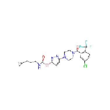 O=C(NCCCC1CC1)Oc1ccc(N2CCN(C(=O)c3cc(Cl)ccc3C(F)(F)F)CC2)nn1